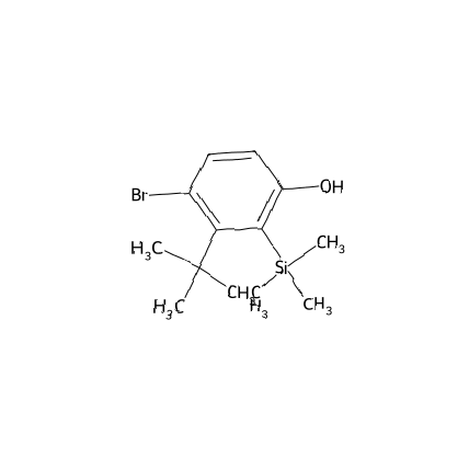 CC(C)(C)c1c(Br)ccc(O)c1[Si](C)(C)C